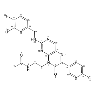 CC(=O)NCCn1c(=O)c(-c2ccc(Cl)cc2)nc2cnc(NCc3ccc(F)c(Cl)c3)nc21